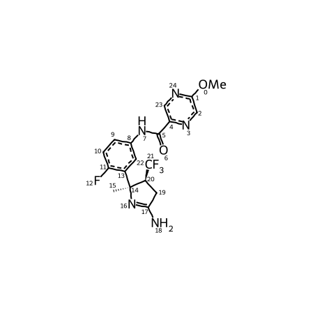 COc1cnc(C(=O)Nc2ccc(F)c([C@]3(C)N=C(N)C[C@@H]3C(F)(F)F)c2)cn1